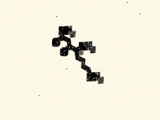 NCCCC[C@H](N)C(=O)CC(N)=O